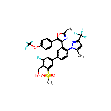 Cc1nc(-c2cc(-c3cc(F)c(CO)c(S(C)(=O)=O)c3)ccc2-n2nc(C(F)(F)F)cc2C)c(-c2ccc(OC(F)(F)F)cc2)o1